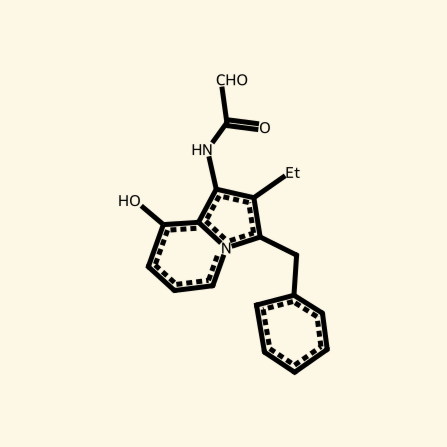 CCc1c(NC(=O)C=O)c2c(O)cccn2c1Cc1ccccc1